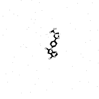 O=C(O)N1CCOC(c2ccc(-n3c(Cl)cc4c(Cl)ncnc43)cc2)C1